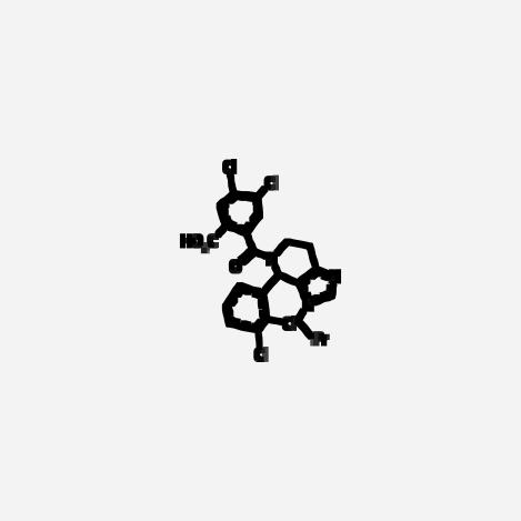 CC(C)Cn1cnc2c1C(c1cccc(Cl)c1Cl)N(C(=O)c1cc(Cl)c(Cl)cc1C(=O)O)CC2